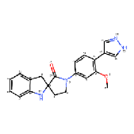 COc1cc(N2CCC3(Cc4ccccc4N3)C2=O)ccc1-c1cn[nH]c1